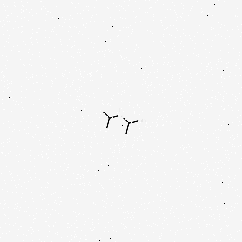 CCCCC(C)[SiH]C(C)CCCC